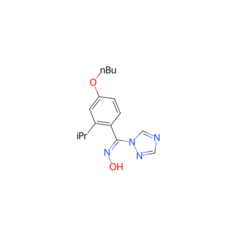 CCCCOc1ccc(C(=NO)n2cncn2)c(C(C)C)c1